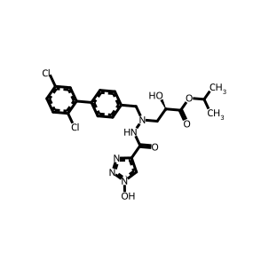 CC(C)OC(=O)[C@H](O)CN(Cc1ccc(-c2cc(Cl)ccc2Cl)cc1)NC(=O)c1cn(O)nn1